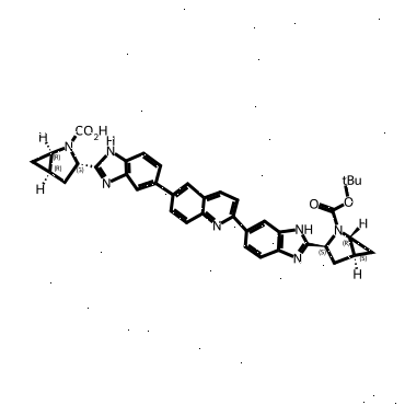 CC(C)(C)OC(=O)N1[C@@H]2C[C@H]2C[C@H]1c1nc2ccc(-c3ccc4cc(-c5ccc6[nH]c([C@@H]7C[C@H]8C[C@H]8N7C(=O)O)nc6c5)ccc4n3)cc2[nH]1